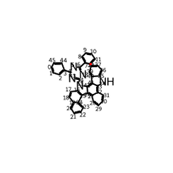 c1ccc(-c2nc(-c3ccccc3)nc(-n3c4ccc5ccccc5c4c4c5ccccc5c5[nH]c6ccccc6c5c43)n2)cc1